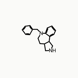 c1ccc(CN2CCC3CNCC3c3ccccc32)cc1